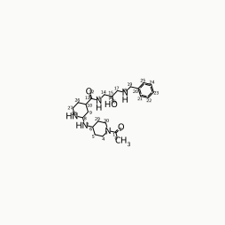 CC(=O)N1CCC(NC2CC(C(=O)NC[C@H](O)CNCc3ccccc3)CCN2)CC1